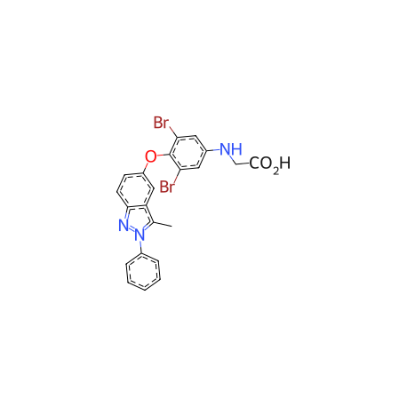 Cc1c2cc(Oc3c(Br)cc(NCC(=O)O)cc3Br)ccc2nn1-c1ccccc1